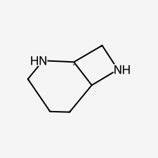 C1CN[C]2CNC2C1